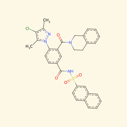 Cc1nn(-c2ccc(C(=O)NS(=O)(=O)c3ccc4ccccc4c3)cc2C(=O)N2CCc3ccccc3C2)c(C)c1Cl